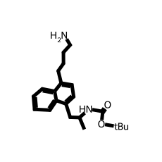 CC(Cc1ccc(CCCCN)c2ccccc12)NC(=O)OC(C)(C)C